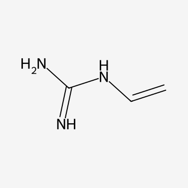 C=CNC(=N)N